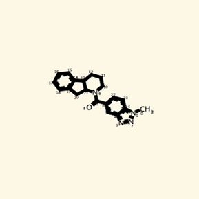 Cn1nnc2cc(C(=O)N3CCCC4c5ccccc5CC43)ccc21